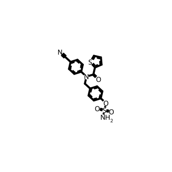 N#Cc1ccc(N(Cc2ccc(OS(N)(=O)=O)cc2)C(=O)c2cccs2)cc1